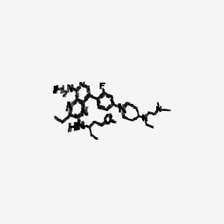 CCc1nc2c(N)ncc(-c3ccc(N4CCC(N(CC)CCN(C)C)CC4)cc3F)c2nc1NC(CC)CCOC